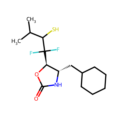 CC(C)C(S)C(F)(F)[C@@H]1OC(=O)N[C@H]1CC1CCCCC1